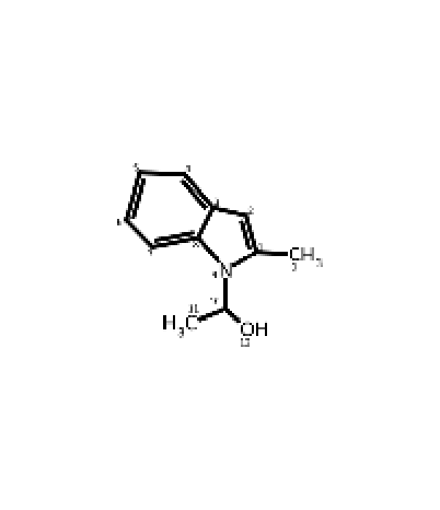 Cc1cc2ccccc2n1C(C)O